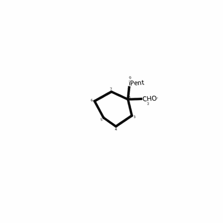 CCCC(C)C1([C]=O)CCCCC1